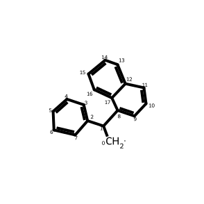 [CH2]C(c1ccccc1)c1cccc2ccccc12